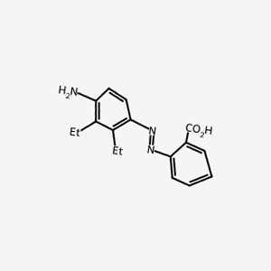 CCc1c(N)ccc(N=Nc2ccccc2C(=O)O)c1CC